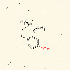 C[C@@H]1CCc2ccc(O)cc2[C@@H]1C